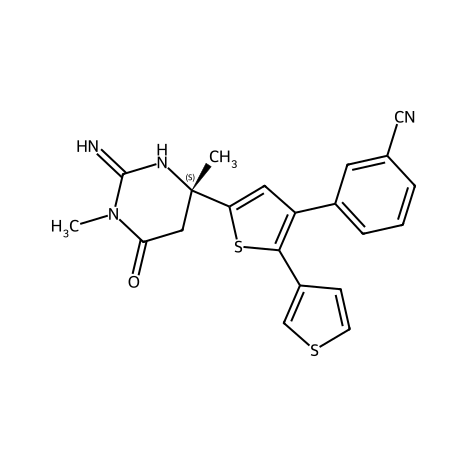 CN1C(=N)N[C@](C)(c2cc(-c3cccc(C#N)c3)c(-c3ccsc3)s2)CC1=O